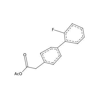 CC(=O)OC(=O)Cc1ccc(-c2ccccc2F)cc1